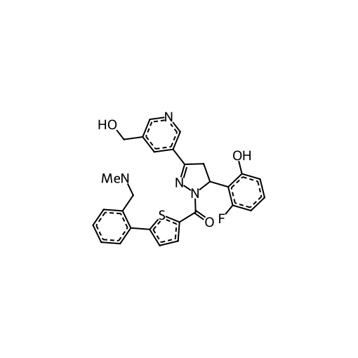 CNCc1ccccc1-c1ccc(C(=O)N2N=C(c3cncc(CO)c3)CC2c2c(O)cccc2F)s1